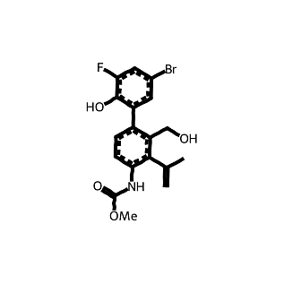 C=C(C)c1c(NC(=O)OC)ccc(-c2cc(Br)cc(F)c2O)c1CO